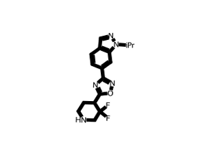 CC(C)n1ncc2ccc(-c3noc(C4CCNCC4(F)F)n3)cc21